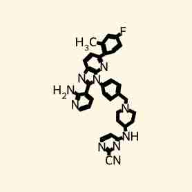 Cc1cc(F)ccc1-c1ccc2nc(-c3cccnc3N)n(-c3ccc(CN4CCC(Nc5ccnc(C#N)n5)CC4)cc3)c2n1